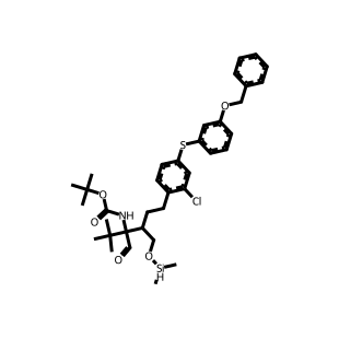 C[SiH](C)OCC(CCc1ccc(Sc2cccc(OCc3ccccc3)c2)cc1Cl)C(C=O)(NC(=O)OC(C)(C)C)C(C)(C)C